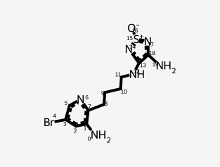 Nc1cc(Br)cnc1CCCCNc1n[s+]([O-])nc1N